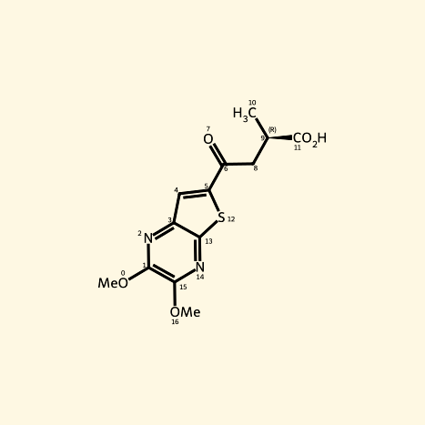 COc1nc2cc(C(=O)C[C@@H](C)C(=O)O)sc2nc1OC